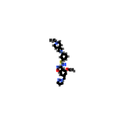 COc1cc(Cn2cccn2)cc2onc(NSc3cccc(N4CC5(CCN(C)CC5)C4)c3)c12